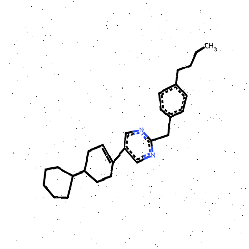 CCCCc1ccc(Cc2ncc(C3=CCC(C4CCCCC4)CC3)cn2)cc1